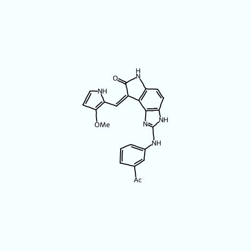 COc1cc[nH]c1C=C1C(=O)Nc2ccc3[nH]c(Nc4cccc(C(C)=O)c4)nc3c21